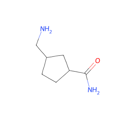 NCC1CCC(C(N)=O)C1